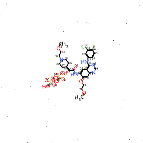 COCCOc1cc2ncnc(Nc3ccc(F)c(Cl)c3)c2cc1NC(=O)C=C1CCN(CCOC)CC1.O=S(=O)(O)O.O=S(=O)(O)O